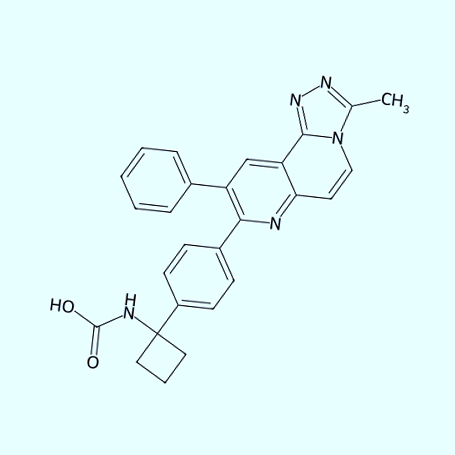 Cc1nnc2c3cc(-c4ccccc4)c(-c4ccc(C5(NC(=O)O)CCC5)cc4)nc3ccn12